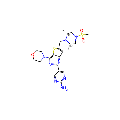 C[C@@H]1CN(S(C)(=O)=O)C[C@H](C)N1Cc1cc2nc(-c3cnc(N)nc3)nc(N3CCOCC3)c2s1